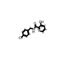 O=C(NCc1ccc(Cl)cc1)c1ncccc1O